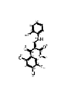 COC(=O)C(=CNc1ccccc1F)C(=O)c1cc(F)c(Cl)cc1Cl